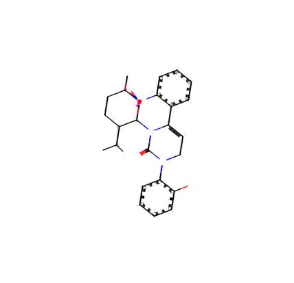 CC1CCC(C(C)C)C(N2C(=O)N(c3ccccc3O)CC=C2c2ccccc2[N+](=O)[O-])C1